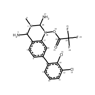 CN1C(N)c2ccc(-c3cccc(Cl)c3Cl)cc2N(OC(=O)C(F)(F)F)C1N